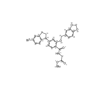 CC(C)(C)OC(=O)CNC(=O)c1cnc(N2CCc3cc(Br)ccc32)nc1OCc1ccc2c(c1)OCO2